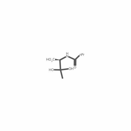 CCCC(=O)N[C@H](C(=O)O)C(C)(O)O